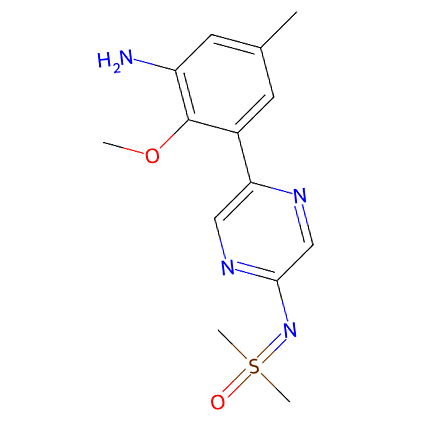 COc1c(N)cc(C)cc1-c1cnc(N=S(C)(C)=O)cn1